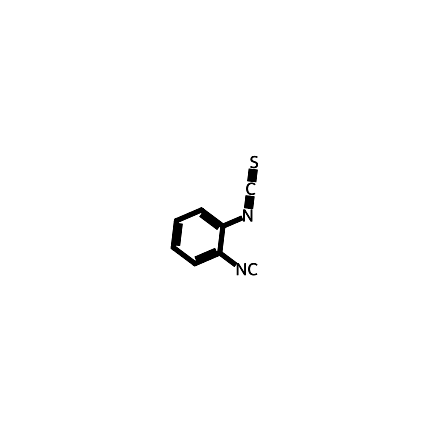 [C-]#[N+]c1ccccc1N=C=S